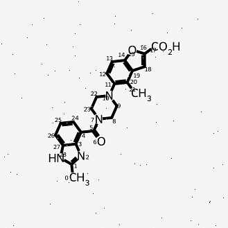 Cc1nc2c(C(=O)N3CCN(c4ccc5oc(C(=O)O)cc5c4C)CC3)cccc2[nH]1